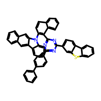 c1ccc(-c2ccc(-c3nc(-c4ccc5c(c4)sc4ccccc45)nc(-c4c(-n5c6ccccc6c6cc7ccccc7cc65)ccc5ccccc45)n3)cc2)cc1